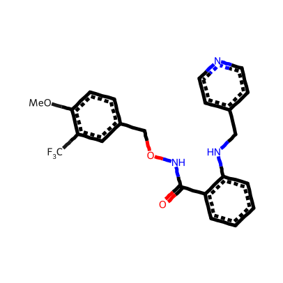 COc1ccc(CONC(=O)c2ccccc2NCc2ccncc2)cc1C(F)(F)F